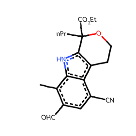 CCCC1(C(=O)OCC)OCCc2c1[nH]c1c(C)c(C=O)cc(C#N)c21